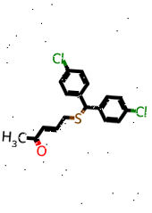 CC(=O)C=CCSC(c1ccc(Cl)cc1)c1ccc(Cl)cc1